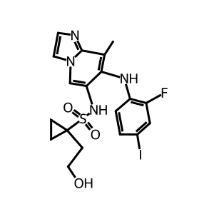 Cc1c(Nc2ccc(I)cc2F)c(NS(=O)(=O)C2(CCO)CC2)cn2ccnc12